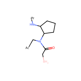 BCC(=O)N(CC(C)=O)C1CCCC1NC(C)C